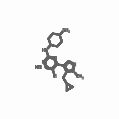 Cl.Cn1ncc(-c2nc(NC3CCC(N)CC3)ncc2Cl)c1CC1CC1